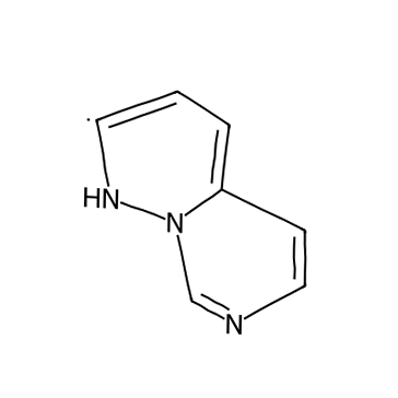 [C]1=CC=C2C=CN=CN2N1